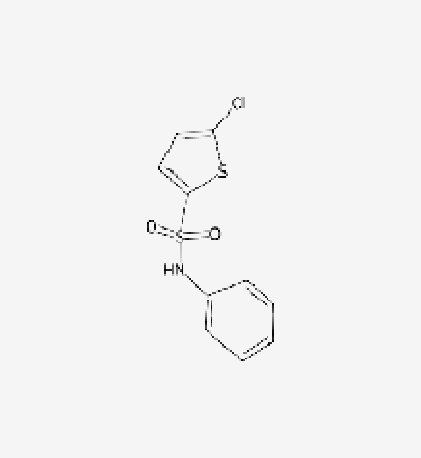 O=S(=O)(Nc1ccccc1)c1ccc(Cl)s1